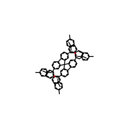 Cc1ccc(N(C2=CCC(C)C=C2)c2ccc3c(c2)C2(c4cc(N(c5ccc(C)cc5)c5ccc(C)cc5)ccc4-3)c3cc(N(c4ccc(C)cc4)c4ccc(C)cc4)ccc3-c3ccc(N(c4ccc(C)cc4)c4ccc(C)cc4)cc32)cc1